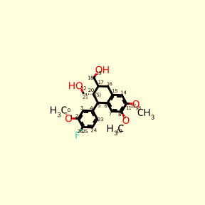 COc1cc(C2c3cc(OC)c(OC)cc3CC(CO)[C@H]2CO)ccc1F